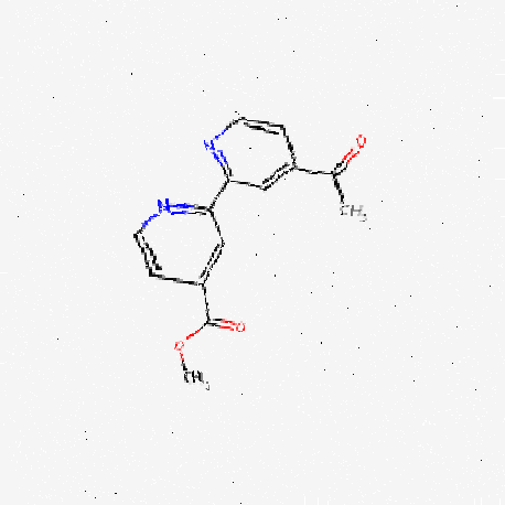 COC(=O)c1ccnc(-c2cc(C(C)=O)ccn2)c1